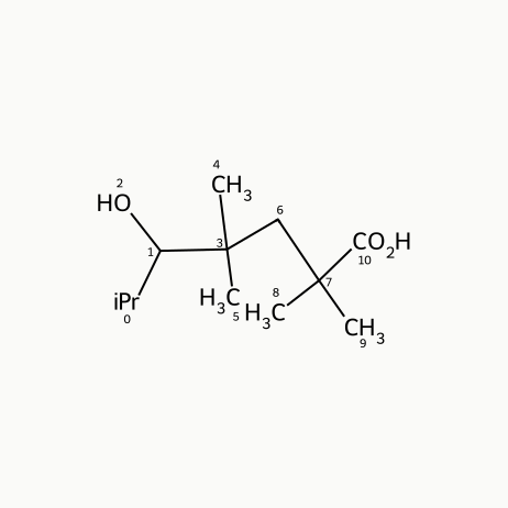 CC(C)C(O)C(C)(C)CC(C)(C)C(=O)O